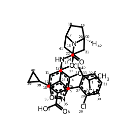 CC(C)Oc1cc(C(=O)O)ccc1NC(=O)N1C2CC[C@H]1CC(OCc1c(-c3c(Cl)cccc3Cl)noc1C1CC1)C2